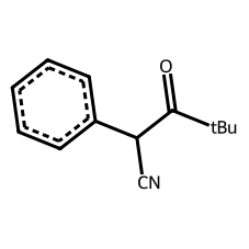 CC(C)(C)C(=O)C(C#N)c1ccccc1